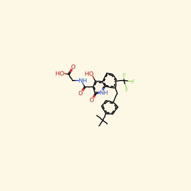 CC(C)(C)c1ccc(Cc2c(C(F)(F)F)ccc3c(O)c(C(=O)NCC(=O)O)c(=O)[nH]c23)cc1